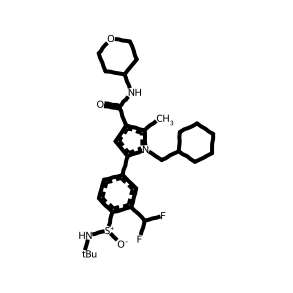 Cc1c(C(=O)NC2CCOCC2)cc(-c2ccc([S+]([O-])NC(C)(C)C)c(C(F)F)c2)n1CC1CCCCC1